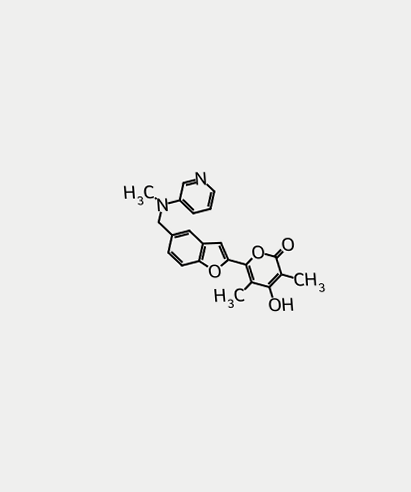 Cc1c(-c2cc3cc(CN(C)c4cccnc4)ccc3o2)oc(=O)c(C)c1O